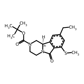 CCc1cc(SC)c2c(c1)[C@@H]1CN(C(=O)OC(C)(C)C)CCN1C2=O